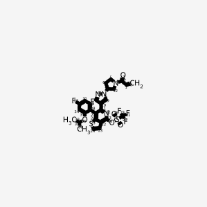 C=CC(=O)N1CCC(n2cc(-c3nc(OS(=O)(=O)C(F)(F)F)c4ccsc4c3-c3c(F)cc(F)cc3OC(C)C)cn2)C1